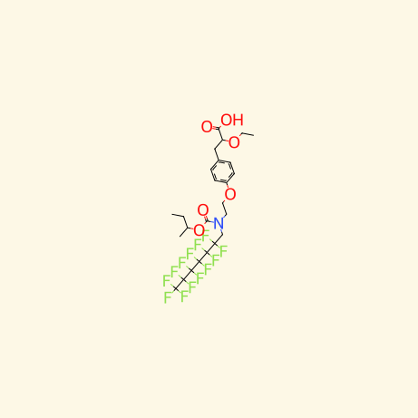 CCOC(Cc1ccc(OCCN(CC(F)(F)C(F)(F)C(F)(F)C(F)(F)C(F)(F)C(F)(F)F)C(=O)OC(C)CC)cc1)C(=O)O